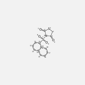 O=C1CSC(=O)N1S(=O)(=O)c1cccc2ccccc12